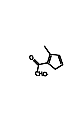 CC1=C(C(=O)[C]=O)CC=C1